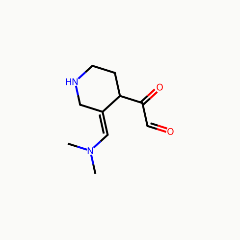 CN(C)C=C1CNCCC1C(=O)C=O